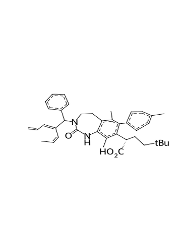 C=C/C=C(\C=C/C)C(c1ccccc1)N1CCc2c(C)c(-c3ccc(C)cc3)c([C@H](CCC(C)(C)C)C(=O)O)c(C)c2NC1=O